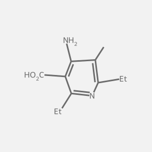 CCc1nc(CC)c(C(=O)O)c(N)c1C